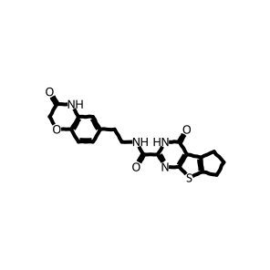 O=C1COc2ccc(CCNC(=O)c3nc4sc5c(c4c(=O)[nH]3)CCC5)cc2N1